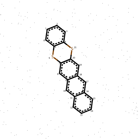 [c]1cccc2c1Sc1cc3cc4ccccc4cc3cc1S2